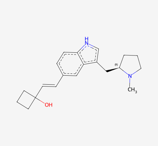 CN1CCC[C@@H]1Cc1c[nH]c2ccc(C=CC3(O)CCC3)cc12